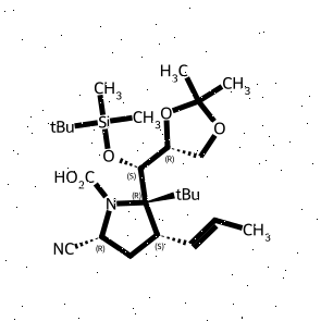 CC=C[C@@H]1C[C@H](C#N)N(C(=O)O)[C@@]1([C@H](O[Si](C)(C)C(C)(C)C)[C@H]1COC(C)(C)O1)C(C)(C)C